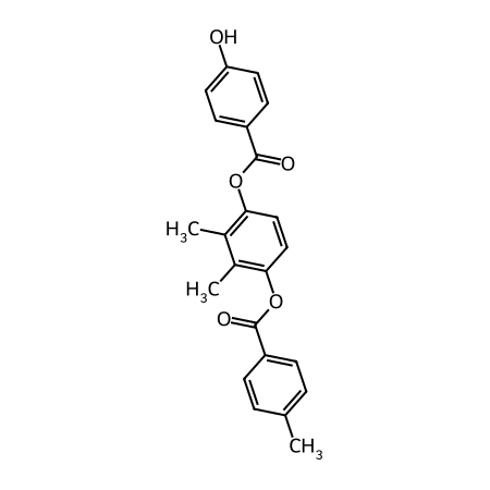 Cc1ccc(C(=O)Oc2ccc(OC(=O)c3ccc(O)cc3)c(C)c2C)cc1